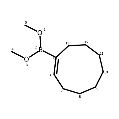 COB(OC)C1=CCCCCCCC1